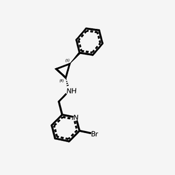 Brc1cccc(CN[C@@H]2C[C@H]2c2ccccc2)n1